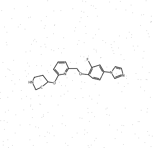 Fc1cc(-n2ccnc2)ccc1OCc1cccc(OC2CCNCC2)n1